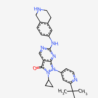 CC(C)(CO)c1cc(-n2c3nc(Nc4ccc5c(c4)CCNC5)ncc3c(=O)n2C2CC2)ccn1